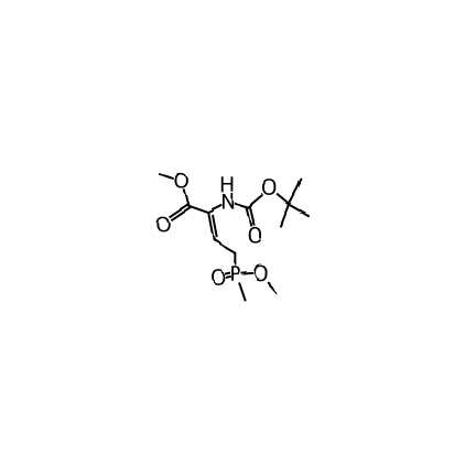 COC(=O)C(=CCP(C)(=O)OC)NC(=O)OC(C)(C)C